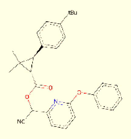 CC(C)(C)c1ccc([C@H]2[C@H](C(=O)OC(C#N)c3cccc(Oc4ccccc4)n3)C2(C)C)cc1